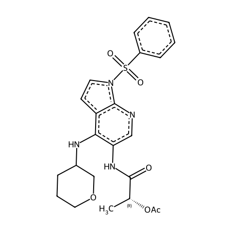 CC(=O)O[C@H](C)C(=O)Nc1cnc2c(ccn2S(=O)(=O)c2ccccc2)c1NC1CCCOC1